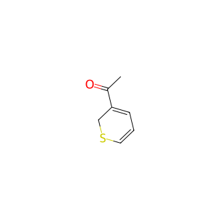 CC(=O)C1=CC=CSC1